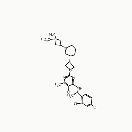 C[C@@H](Nc1nc(N2CC([C@H]3CCCN(C4CC(C)(C(=O)O)C4)C3)C2)nc(C(F)(F)F)c1Cl)c1ccc(Cl)cc1Cl